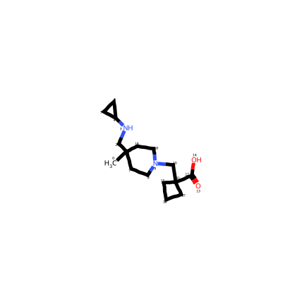 CC1(CNC2CC2)CCN(CC2(C(=O)O)CCC2)CC1